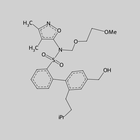 COCCOCN(c1onc(C)c1C)S(=O)(=O)c1ccccc1-c1ccc(CO)cc1CCC(C)C